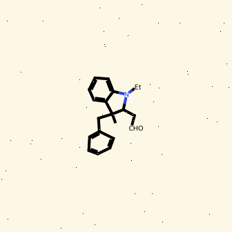 CCN1c2ccccc2C(C)(Cc2ccccc2)C1CC=O